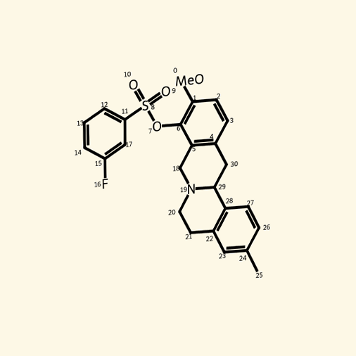 COc1ccc2c(c1OS(=O)(=O)c1cccc(F)c1)CN1CCc3cc(C)ccc3C1C2